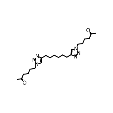 CC(=O)CCCCn1cc(CCCCCCc2cn(CCCCC(C)=O)nn2)nn1